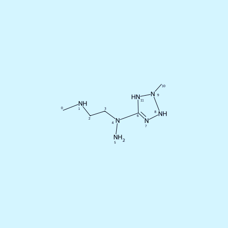 CNCCN(N)C1=NNN(C)N1